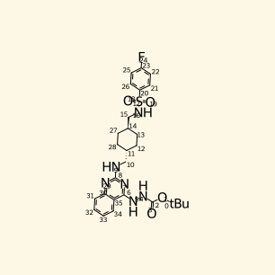 CC(C)(C)OC(=O)NNc1nc(NC[C@H]2CC[C@H](CNS(=O)(=O)c3ccc(F)cc3)CC2)nc2ccccc12